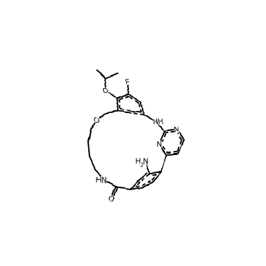 CC(C)Oc1c(F)cc2cc1COCCCCNC(=O)c1ccc(c(N)c1)-c1ccnc(n1)N2